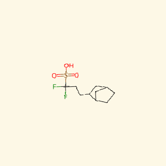 O=S(=O)(O)C(F)(F)CCC1CC2CCC1C2